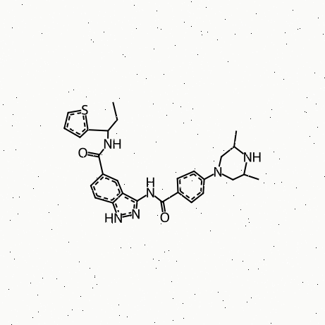 CCC(NC(=O)c1ccc2[nH]nc(NC(=O)c3ccc(N4CC(C)NC(C)C4)cc3)c2c1)c1cccs1